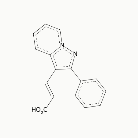 O=C(O)/C=C/c1c(-c2ccccc2)nn2ccccc12